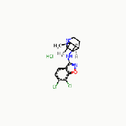 CC1(C)[C@H](Nc2noc3c(Cl)c(Cl)ccc23)C2CCN1CC2.Cl